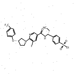 CCS(=O)(=O)c1ccc([C@@H](CC#N)NC(=O)c2cnc(N3CC[C@H](Oc4ccc(C(F)(F)F)cc4)C3)c(F)c2)cc1